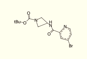 CC(C)(C)OC(=O)N1CC(NC(=O)c2cc(Br)ccn2)C1